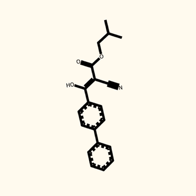 CC(C)COC(=O)/C(C#N)=C(\O)c1ccc(-c2ccccc2)cc1